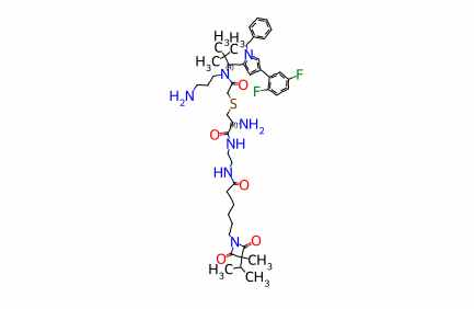 CC(C)C1(C)C(=O)N(CCCCCC(=O)NCCNC(=O)[C@@H](N)CSCC(=O)N(CCCN)[C@@H](c2cc(-c3cc(F)ccc3F)cn2Cc2ccccc2)C(C)(C)C)C1=O